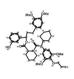 COc1ccc(CCC(OC(=O)C2CCCCN2C(=O)[C@H](c2cc(OC)c(OCCI)c(OC)c2)C2CCCCC2)c2cccc(O)c2)cc1OC